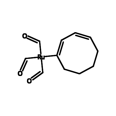 O=[CH][Ru]([CH]=O)([CH]=O)[C]1=CC=CCCCC1